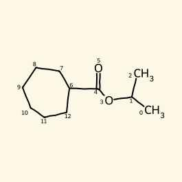 CC(C)OC(=O)C1CCCCCC1